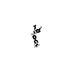 CC(C)=CCN(CC(=O)Nc1ccc(C2CCN(C(=O)C(F)(F)F)CC2)cc1)c1cccc(C#N)c1